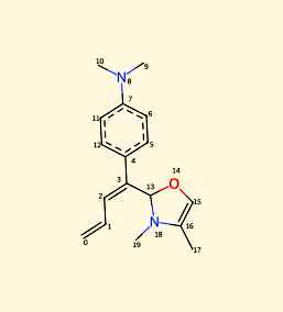 C=CC=C(c1ccc(N(C)C)cc1)C1OC=C(C)N1C